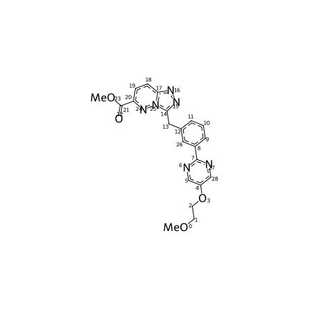 COCCOc1cnc(-c2cccc(Cc3nnc4ccc(C(=O)OC)nn34)c2)nc1